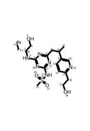 CC(C)C[C@H](CO)Nc1nc(CC(C)c2ccc(CCO)nc2)nc(NS(C)(=O)=O)n1